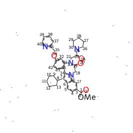 COC(=O)c1ccc2c(C3CCCCC3)c3n(c2c1)CC(=O)N(CC(=O)N1CCCCC1)c1cc(OCc2ccccn2)ccc1-3